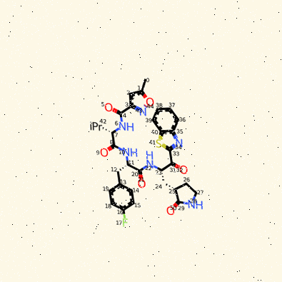 Cc1cc(C(=O)N[C@H](C(=O)N[C@@H](Cc2ccc(F)cc2)C(=O)N[C@@H](C[C@@H]2CCNC2=O)C(=O)c2nc3ccccc3s2)C(C)C)no1